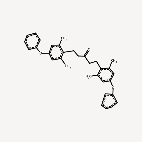 Cc1cc(Oc2ccccc2)cc(C)c1CCC(=O)CCc1c(C)cc(Oc2ccccc2)cc1C